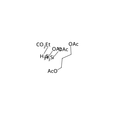 CC(=O)OCCCOC(C)=O.CC(=O)O[SiH3].CC(=O)O[SiH3].CCOC(C)=O